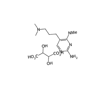 CNc1nc(N)ncc1CCCN(C)C.O=C(O)C(O)C(O)C(=O)O